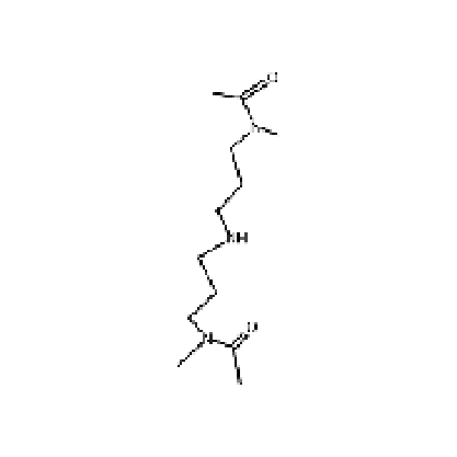 CC(=O)N(C)CCCNCCCN(C)C(C)=O